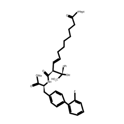 CCCCCCCC(=O)CCCCCC/C=C/[C@H](C(=O)N[C@@H](Cc1ccc(-c2ccccc2F)cc1)C(=O)OC)[C@@](O)(CCC)C(=O)O